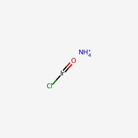 [NH4+].[O]=[Ir][Cl]